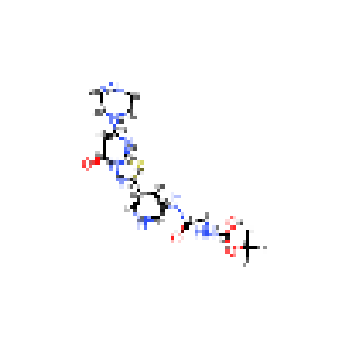 CC(C)(C)OC(=O)NCC(=O)Nc1cncc(-c2nn3c(=O)cc(N4CCNCC4)nc3s2)c1